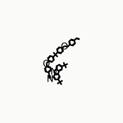 C=Cc1ccc(COc2ccc(C(C)(C)c3ccc(Oc4ccc(C#N)c(-n5c6ccc(C(C)(C)C)cc6c6cc(C(C)(C)C)ccc65)c4)cc3)cc2)cc1